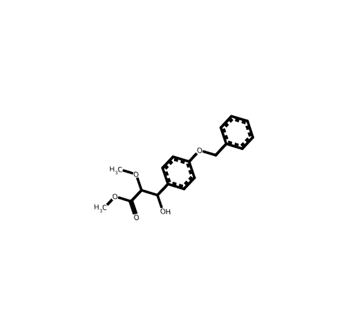 COC(=O)C(OC)C(O)c1ccc(OCc2ccccc2)cc1